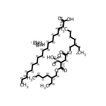 CCCCC(CC)COC(=O)CC(C(=O)OCC(CC)CCCC)S(=O)(=O)O.CCCCCCCCCCCCCCCCCC(=O)O.[NaH].[PbH2]